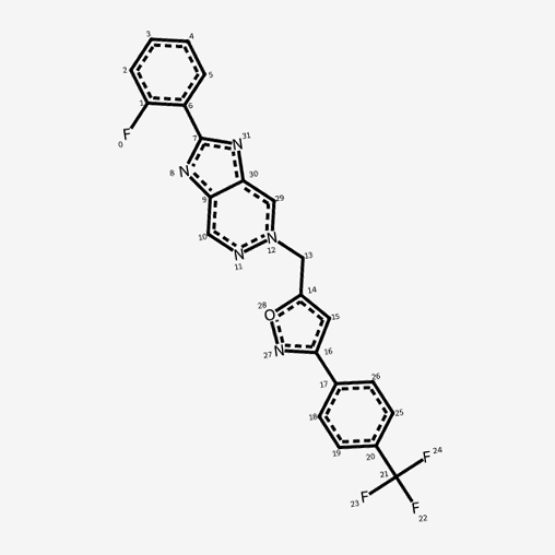 Fc1ccccc1-c1nc2cnn(Cc3cc(-c4ccc(C(F)(F)F)cc4)no3)cc-2n1